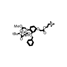 COC(=O)CN(c1ccc(OCC(=O)OCC[Si](C)(C)C)cc1OCc1ccccc1)S(=O)(=O)NC(=O)OC(C)(C)C